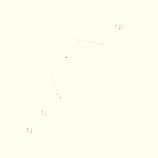 CC(C)(CN=[N+]=[N-])OCN